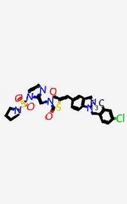 O=C1S/C(=C\c2ccc3c(cnn3Cc3ccc(Cl)cc3C(F)(F)F)c2)C(=O)N1Cc1nccn1S(=O)(=O)N1CCCC1